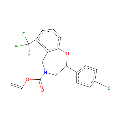 C=COC(=O)N1Cc2c(cccc2C(F)(F)F)OC(c2ccc(Cl)cc2)C1